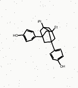 CCC12CC3(c4ccc(O)cc4)CC(c4ccc(O)cc4)(C1)CC(C(C)C)(C2)C3